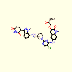 CNC(=O)COc1cc2cc(Nc3nc(N4CCC[C@H](CNc5cccc6c(C7CCC(=O)NC7=O)nn(C)c56)C4)ncc3Cl)ccc2n(C)c1=O